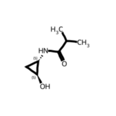 CC(C)C(=O)N[C@H]1C[C@@H]1O